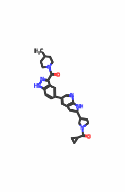 CC1CCN(C(=O)c2n[nH]c3ccc(-c4cnc5[nH]c(C6=CCN(C(=O)C7CC7)C6)cc5c4)cc23)CC1